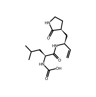 C=C[C@H](C[C@@H]1CCNC1=O)NC(=O)[C@H](CC(C)C)NC(=O)O